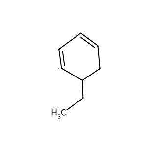 CCC1[C]=CC=CC1